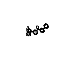 Cc1cc(C2CCCN(C(=O)c3cccc(-c4ccccc4)c3)C2)n2ncnc2n1